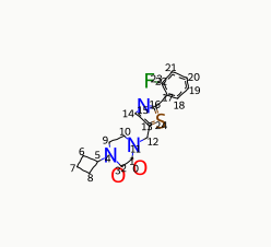 O=C1C(=O)N(C2CCC2)CCN1Cc1cnc(-c2ccccc2F)s1